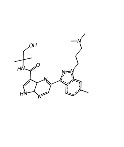 Cc1ccc2c(C3=NC4C(C(=O)NC(C)(C)CO)=CNC4N=C3)nn(CCCN(C)C)c2c1